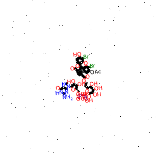 CC(=O)Oc1ccc2c(c1Br)Oc1c(ccc(O)c1Br)C21OC(=O)c2ccc(C(=O)OCCC3O[C@H](OP(=O)(O)OP(=O)(O)OC[C@H]4O[C@@H](N5C=NC6C(=O)NC(N)=NC65)[C@@H](O)[C@H]4O)C(O)C(O)[C@@H]3O)cc21